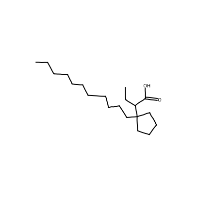 CCCCCCCCCCCC1(C(CC)C(=O)O)CCCC1